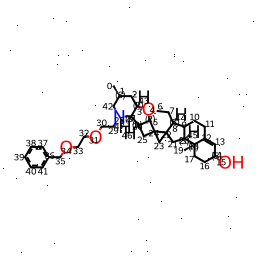 C[C@H]1C[C@H]2O[C@@]34CC[C@H]5C6CCC7=C[C@@H](O)CC[C@]7(C)[C@H]6CC56CC63C[C@@H]4[C@@H]2N(CCOCCOCc2ccccc2)C1